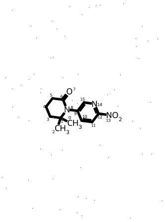 CC1(C)CCCC(=O)N1c1ccc([N+](=O)[O-])nc1